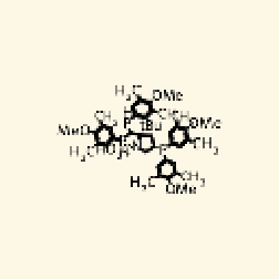 COc1c(C)cc(PC(Pc2cc(C)c(OC)c(C)c2)[C@@]2(C(C)(C)C)C[C@H](P(c3cc(C)c(OC)c(C)c3)c3cc(C)c(OC)c(C)c3)CN2C(=O)O)cc1C